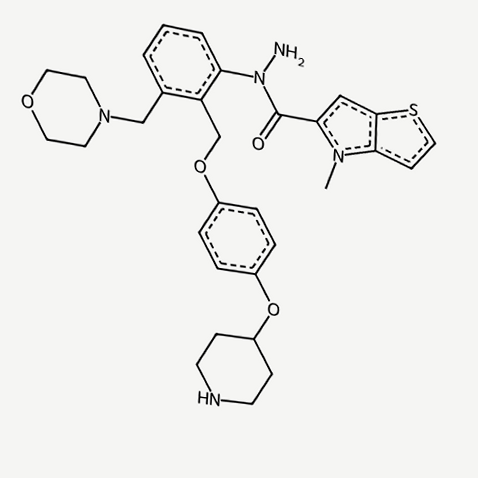 Cn1c(C(=O)N(N)c2cccc(CN3CCOCC3)c2COc2ccc(OC3CCNCC3)cc2)cc2sccc21